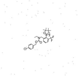 CCN(Cc1cccc(C(F)(F)F)c1B1OC(C)(C)C(C)(C)O1)C(=O)OCc1ccc(Cl)cc1